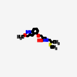 COCc1cc2c(OCC(O)CNCC(C)SC)cccc2[nH]1